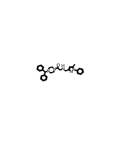 Cc1cc(CNCC(=O)N2CCN(C(c3ccccc3)c3ccccc3)CC2)nn1-c1ccccc1